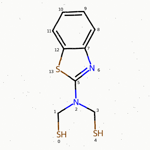 SCN(CS)c1nc2ccccc2s1